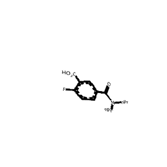 CCCN(CCC)C(=O)c1ccc(F)c(C(=O)O)c1